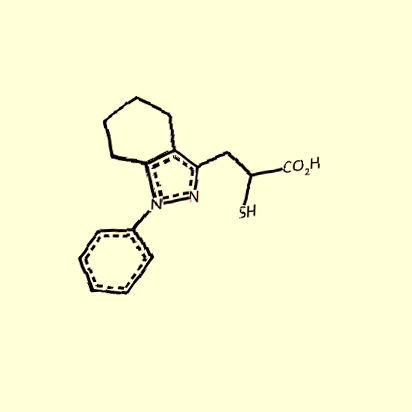 O=C(O)C(S)Cc1nn(-c2ccccc2)c2c1CCCC2